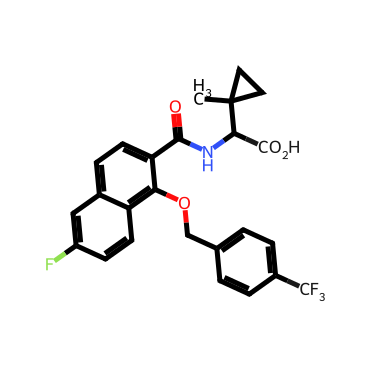 CC1(C(NC(=O)c2ccc3cc(F)ccc3c2OCc2ccc(C(F)(F)F)cc2)C(=O)O)CC1